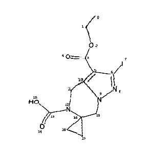 CCOC(=O)c1c(I)nn2c1CN(C(=O)O)C1(CC1)C2